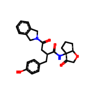 O=C(NC12CCCC1OCC2=O)C(CC(=O)N1Cc2ccccc2C1)Cc1ccc(O)cc1